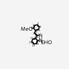 COc1ccccc1/C=C(\C)c1ccccc1NC=O